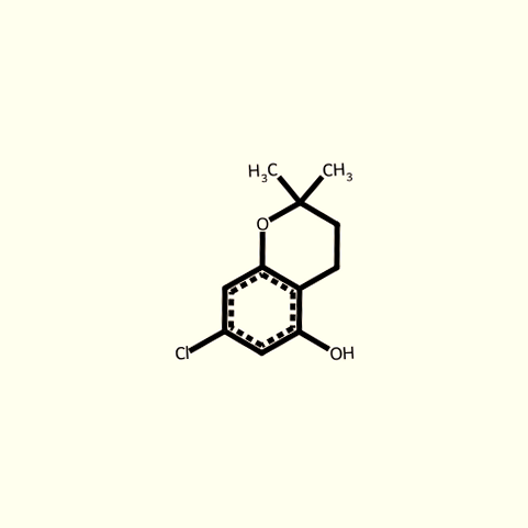 CC1(C)CCc2c(O)cc(Cl)cc2O1